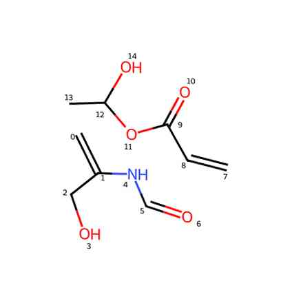 C=C(CO)NC=O.C=CC(=O)OC(C)O